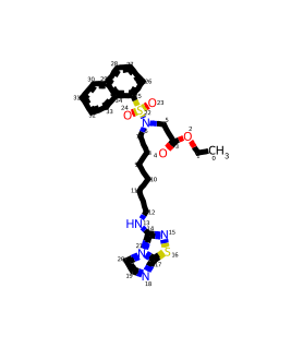 CCOC(=O)CN(CCCCCCNc1nsc2nccn12)S(=O)(=O)c1cccc2ccccc12